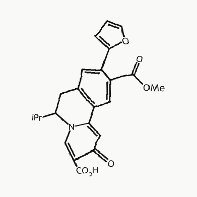 COC(=O)c1cc2c(cc1-c1ccco1)CC(C(C)C)n1cc(C(=O)O)c(=O)cc1-2